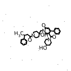 CC(CC(=O)N1CCC(O)(Cn2cc(C(=O)N3CCC(O)CC3)c(-c3ccccc3)cc2=O)CC1)c1ccccc1